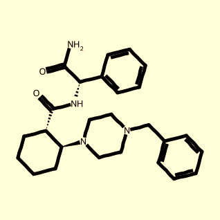 NC(=O)[C@@H](NC(=O)[C@H]1CCCC[C@@H]1N1CCN(Cc2ccccc2)CC1)c1ccccc1